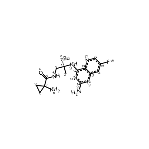 CCCC[C@](C)(CNC(=O)C1(N)CC1)Nc1nc(N)nc2cc(F)cnc12